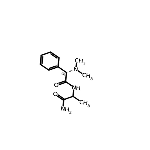 CC(NC(=O)[C@H](c1ccccc1)N(C)C)C(N)=O